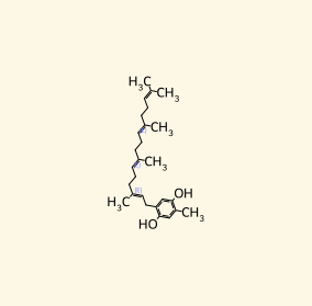 CC(C)=CCC/C(C)=C/CC/C(C)=C/CC/C(C)=C/Cc1cc(O)c(C)cc1O